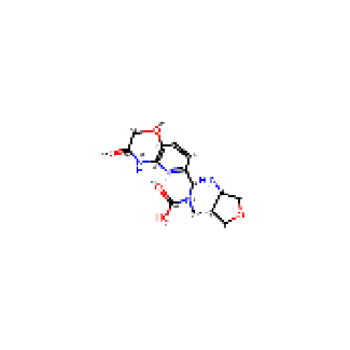 N[C@H]1COC[C@@H]1CN(Cc1ccc2c(n1)NC(=O)CO2)C(=O)O